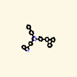 C1=C(c2ccc(-c3nc(-c4ccc(-c5ccccc5)cc4)cc(-c4ccc(-c5cncc6ccccc56)cc4)n3)cc2)CCc2c1c1ccccc1c1ccccc21